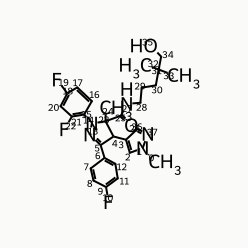 Cn1cc(C2C(c3ccc(F)cc3)=NN(c3ccc(F)cc3F)C2(C)C(=O)NCCCC(C)(C)CO)cn1